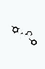 O=C(N=C1CCCN1Cc1ccccc1)Nc1c(Cl)cc(Cl)cc1Cl